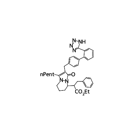 CCCCCc1c(Cc2ccc(-c3ccccc3-c3nnn[nH]3)cc2)c(=O)n2n1CCCC2C(Cc1ccccc1)C(=O)OCC